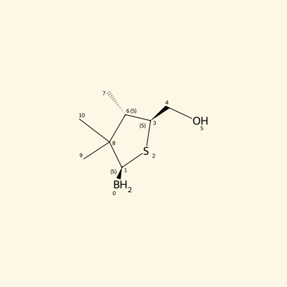 B[C@@H]1S[C@H](CO)[C@@H](C)C1(C)C